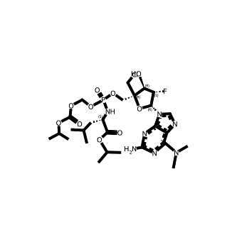 CC(C)C[C@H](NP(=O)(OCOC(=O)OC(C)C)OC[C@@]1(CCl)O[C@@H](n2cnc3c(N(C)C)nc(N)nc32)[C@@H](F)[C@@H]1O)C(=O)OC(C)C